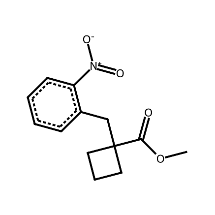 COC(=O)C1(Cc2ccccc2[N+](=O)[O-])CCC1